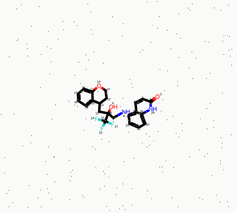 O=c1ccc2c(NCC(O)(CC3CCOc4ccccc43)C(F)(F)F)cccc2[nH]1